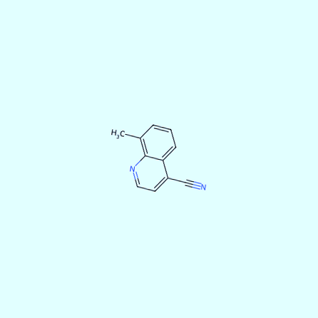 Cc1cccc2c(C#N)ccnc12